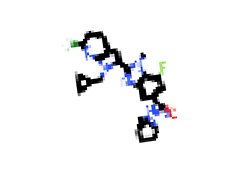 Cn1c(-c2cc3ccc(Cl)nc3n2CC2CC2)nc2cc(C(=O)N3CC4CCC3C4N)cc(F)c21